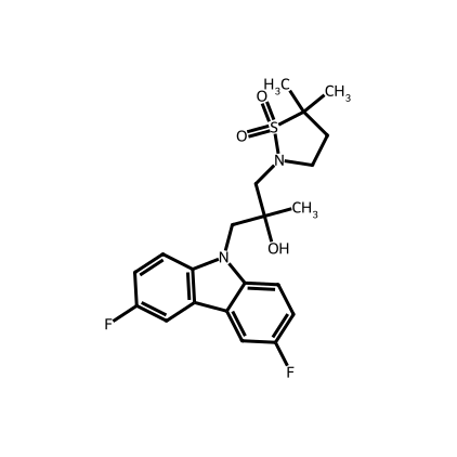 CC(O)(CN1CCC(C)(C)S1(=O)=O)Cn1c2ccc(F)cc2c2cc(F)ccc21